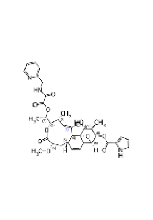 CO[C@H]1C[C@H]2C=CC3C4[C@H](O)[C@@H](C)[C@@H](OC(=O)c5ccc[nH]5)[C@@H]3O[C@]42/C(C)=C/[C@@H](C)[C@@H]([C@@H](C)OC(=O)C(=O)NCc2ccccn2)OC1=O